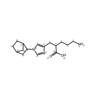 NCCCC(Cc1cn(C2CC3CCC2C3)cn1)C(=O)O